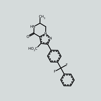 CC1Cn2nc(-c3ccc(C(F)(F)c4ccccc4)cc3)c(C(=O)O)c2C(=O)N1